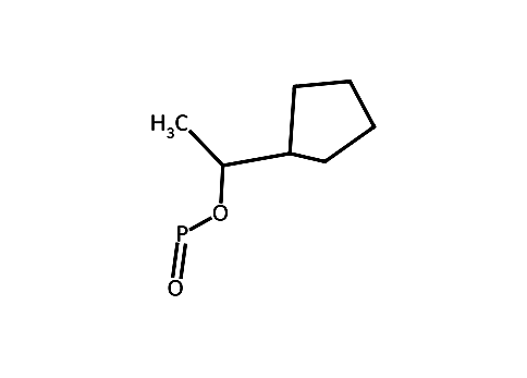 CC(OP=O)C1CCCC1